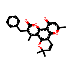 Cc1cc(=O)c2c(o1)c1c(c3c(C)c(Cc4ccccc4)c(=O)oc32)OC(C)(C)C=[C]1